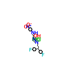 Cl.Cl.O=[N+]([O-])c1ccc(NCC(O)CN2CCN(CCCC(c3ccc(F)cc3)c3ccc(F)cc3)CC2)cc1